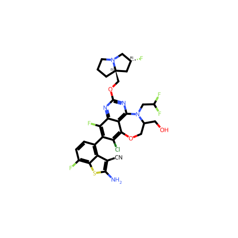 N#Cc1c(N)sc2c(F)ccc(-c3c(Cl)c4c5c(nc(OC[C@@]67CCCN6C[C@H](F)C7)nc5c3F)N(CC(F)F)C(CO)CO4)c12